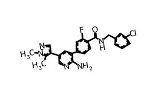 Cc1c(-c2cnc(N)c(-c3ccc(C(=O)NCc4cccc(Cl)c4)c(F)c3)c2)cnn1C